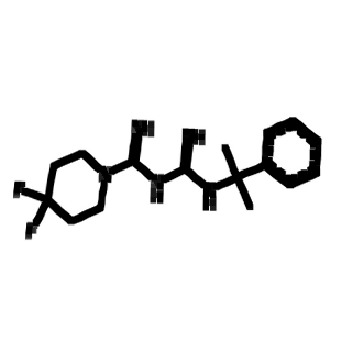 CC(C)(NC(=N)NC(=N)N1CCC(F)(F)CC1)c1ccccc1